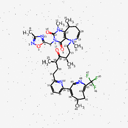 Cc1noc(Cn2c(=O)c3c(n(C)c2=O)C(C)CC=C[N+]3(C)CC[C@@H](C)C(=O)C(C)CCc2cccc(C3=C/C(C)C/C=C(C(F)(F)F)/N=C\3)n2)n1